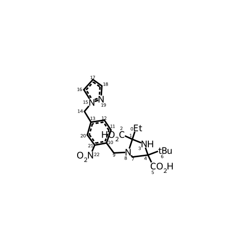 CCC1(C(=O)O)NC(C(=O)O)(C(C)(C)C)CN1Cc1ccc(Cn2cccn2)cc1[N+](=O)[O-]